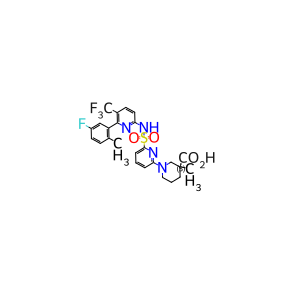 Cc1ccc(F)cc1-c1nc(NS(=O)(=O)c2cccc(N3CCC[C@](C)(C(=O)O)C3)n2)ccc1C(F)(F)F